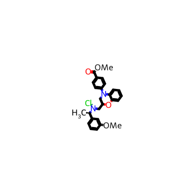 COC(=O)c1ccc(N2CC(CN(Cl)[C@H](C)c3cccc(OC)c3)Oc3ccccc32)cc1